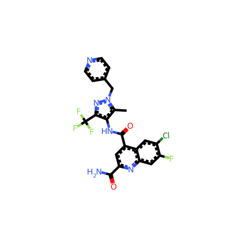 Cc1c(NC(=O)c2cc(C(N)=O)nc3cc(F)c(Cl)cc23)c(C(F)(F)F)nn1Cc1ccncc1